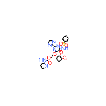 COc1ccccc1Oc1c(NS(=O)(=O)c2ccccc2)nc(-c2ncccn2)nc1OCCOC(=O)Nc1ccccn1